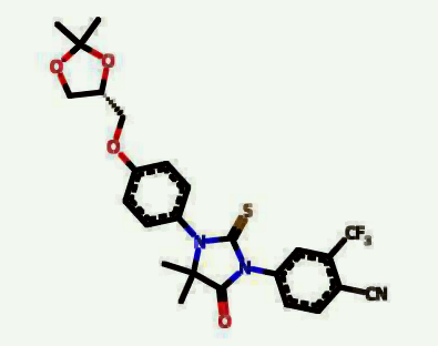 CC1(C)OC[C@@H](COc2ccc(N3C(=S)N(c4ccc(C#N)c(C(F)(F)F)c4)C(=O)C3(C)C)cc2)O1